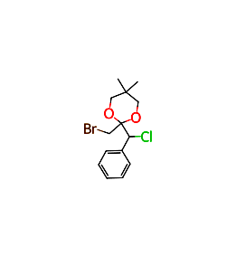 CC1(C)COC(CBr)(C(Cl)c2ccccc2)OC1